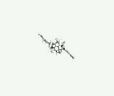 C=c1c2c(Br)c(C)c3c4c(c(Br)c(Br)c(c(=O)n1CCCCCCCC)c42)C(=O)N(CCCCCCCC)C3=O